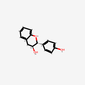 Oc1ccc([C@H]2Oc3ccccc3C[C@@H]2O)cc1